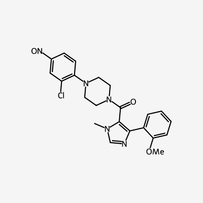 COc1ccccc1-c1ncn(C)c1C(=O)N1CCN(c2ccc(N=O)cc2Cl)CC1